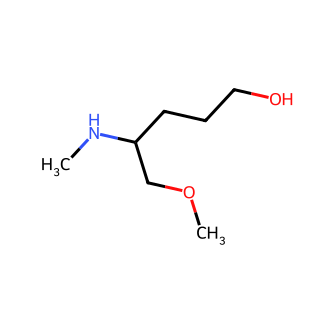 CNC(CCCO)COC